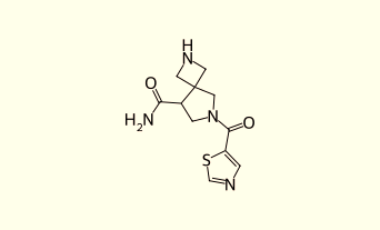 NC(=O)C1CN(C(=O)c2cncs2)CC12CNC2